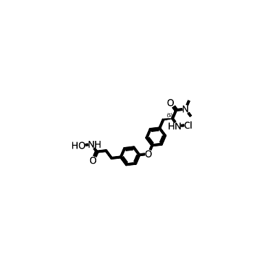 CN(C)C(=O)[C@H](Cc1ccc(Oc2ccc(CCC(=O)NO)cc2)cc1)NCl